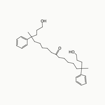 CC(CCCO)(CCCCCC(=O)CCCCCC(C)(CCCO)c1ccccc1)c1ccccc1